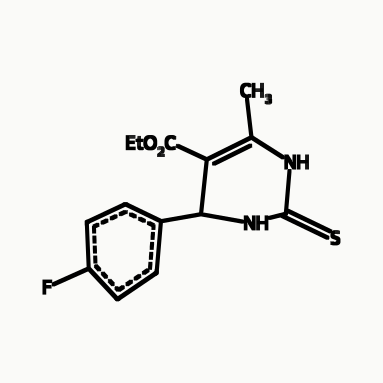 CCOC(=O)C1=C(C)NC(=S)NC1c1ccc(F)cc1